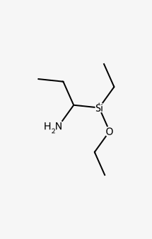 CCO[Si](CC)C(N)CC